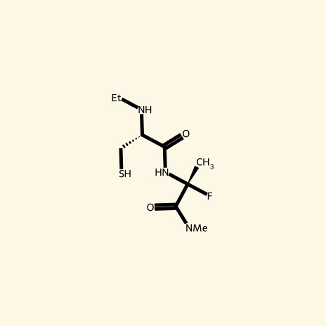 CCN[C@@H](CS)C(=O)N[C@](C)(F)C(=O)NC